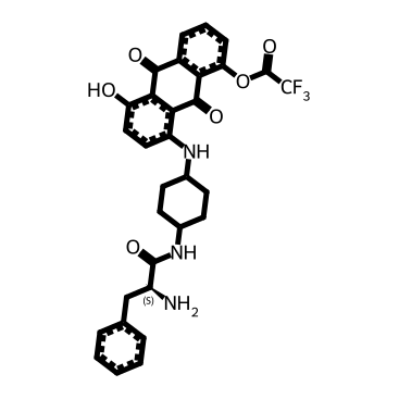 N[C@@H](Cc1ccccc1)C(=O)NC1CCC(Nc2ccc(O)c3c2C(=O)c2c(OC(=O)C(F)(F)F)cccc2C3=O)CC1